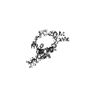 CO[C@H]1/C=C/O[C@@]2(C)Oc3c(C)c(O)c4c(=O)c(c5oc6cc(N7CCC(N(C)C)CC7)cc(O)c6nc-5c4c3C2=O)NC(=O)/C(C)=C\C=C\[C@H](C)C[C@@H](C)C[C@@H](C)[C@H](OC(C)=O)[C@@H]1C